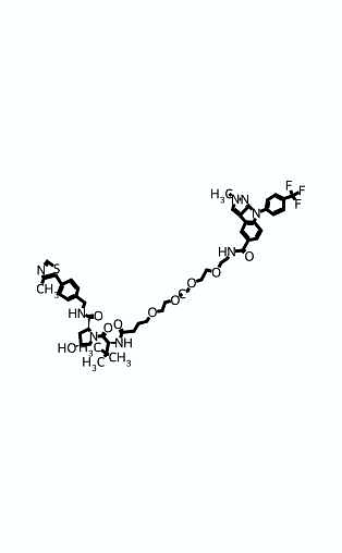 Cc1ncsc1-c1ccc(CNC(=O)[C@@H]2C[C@@H](O)CN2C(=O)[C@@H](NC(=O)CCCOCCOCCOCCOCCNC(=O)c2ccc3c(c2)c2cn(C)nc2n3-c2ccc(C(F)(F)F)cc2)C(C)(C)C)cc1